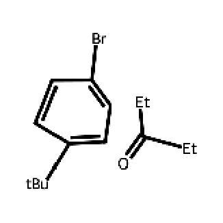 CC(C)(C)c1ccc(Br)cc1.CCC(=O)CC